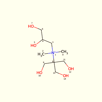 C[N+](C)(CC(O)CO)C(CO)(CO)CO